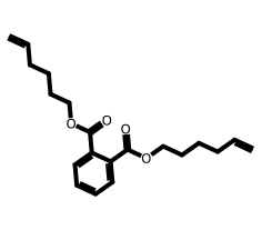 C=CCCCCOC(=O)c1ccccc1C(=O)OCCCCC=C